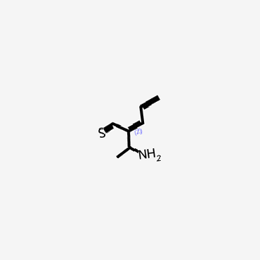 C=C/C=C(\C=S)C(C)N